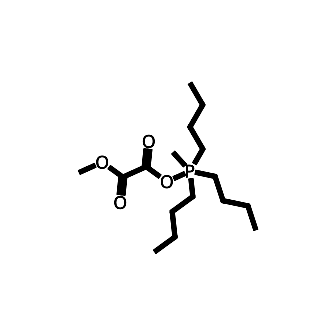 CCCCP(C)(CCCC)(CCCC)OC(=O)C(=O)OC